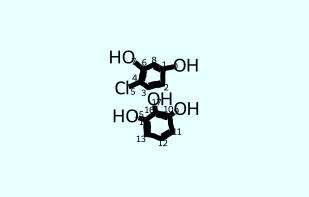 Oc1ccc(Cl)c(O)c1.Oc1cccc(O)c1O